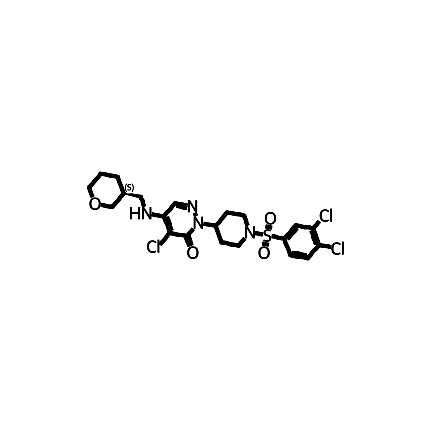 O=c1c(Cl)c(NC[C@@H]2CCCOC2)cnn1C1CCN(S(=O)(=O)c2ccc(Cl)c(Cl)c2)CC1